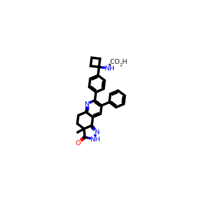 CC12CCc3nc(-c4ccc(C5(NC(=O)O)CCC5)cc4)c(-c4ccccc4)cc3C1=NNC2=O